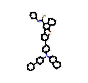 S/C(=N\c1ccccc1)c1cc2c3ccc(-c4ccc(N(c5ccc(-c6ccccc6)cc5)c5ccc6ccccc6c5)cc4)cc3sc2c2ccccc12